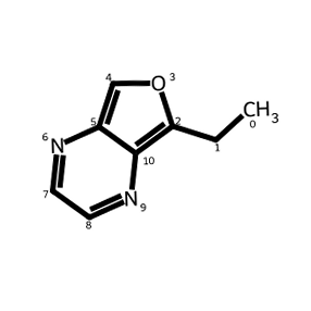 CCc1occ2nccnc12